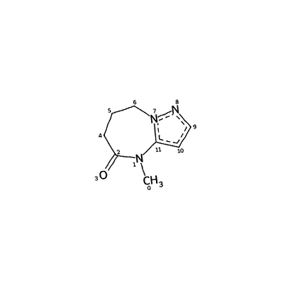 CN1C(=O)CCCn2nccc21